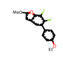 CCOc1ccc(-c2cc3cc(OC)oc3c(F)c2F)cc1